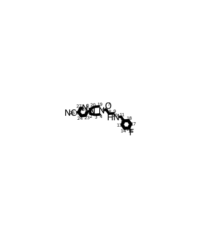 C[C@H]1CC2CN(C(=O)CCNCc3ccc(F)cc3)CC1N2c1ccc(C#N)cn1